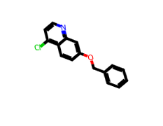 Clc1ccnc2cc(OCc3ccccc3)ccc12